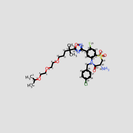 CC(C)OCCOCCOCCCC(C)(C)c1nc(-c2cc3c(cc2F)S(=O)(=O)C[C@H](N)C(=O)N3Cc2ccc(Cl)cc2)no1